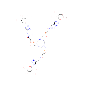 O=C(CCP(=O)(O)CN1CCN(C[PH](=O)CCC(=O)NCc2cn([C@@H]3O[C@H](CO)[C@H](O)[C@H](O)[C@H]3O)nn2)CCN(CP(=O)(O)CCC(=O)NCc2cn(C3O[C@H](CO)[C@H](O)[C@H](O)[C@H]3O)nn2)CC1)NCC1=CN([C@@H]2O[C@H](CO)[C@H](O)[C@H](O)[C@H]2O)NN1